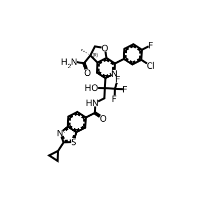 C[C@]1(C(N)=O)COc2c1cc(C(O)(CNC(=O)c1ccc3nc(C4CC4)sc3c1)C(F)(F)F)nc2-c1ccc(F)c(Cl)c1